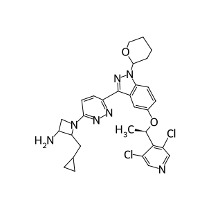 C[C@@H](Oc1ccc2c(c1)c(-c1ccc(N3CC(N)C3CC3CC3)nn1)nn2C1CCCCO1)c1c(Cl)cncc1Cl